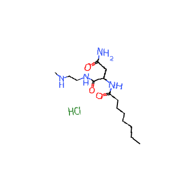 CCCCCCCC(=O)NC(CC(N)=O)C(=O)NCCNC.Cl